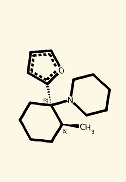 C[C@H]1CCCC[C@@]1(c1ccco1)N1CCCCC1